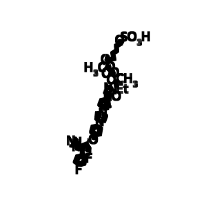 CC[C@@H]([C@H](C)OC(=O)OC(C)OC(=O)CCCCCOS(=O)(=O)O)n1ncn(-c2ccc(N3CCN(c4ccc(OC[C@@H]5CO[C@@](Cn6cncn6)(c6ccc(F)cc6F)C5)cc4)CC3)cc2)c1=O